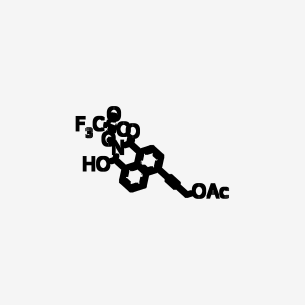 CC(=O)OCC#Cc1ccc2c3c(cccc13)C(O)N(OS(=O)(=O)C(F)(F)F)C2=O